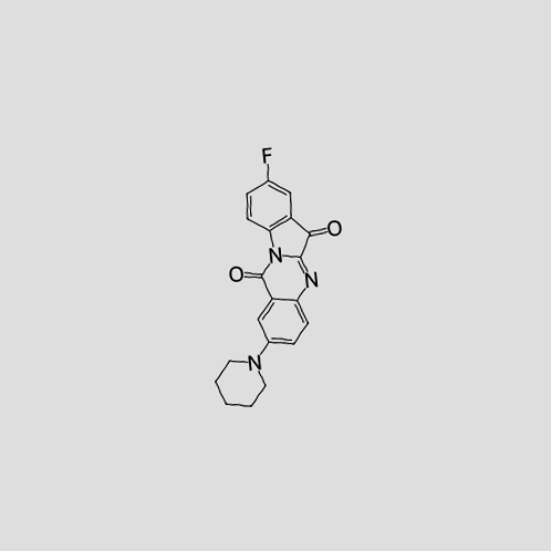 O=C1c2cc(F)ccc2-n2c1nc1ccc(N3CCCCC3)cc1c2=O